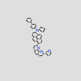 c1ccc(-c2ccc(N(c3ccccc3)c3ccc4ccc5c(-c6ccc7ccc8ccc(-c9cccnc9)nc8c7n6)ccc6ccc3c4c65)cc2)cc1